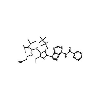 CCC1OC(n2cnc3c(NC(=O)c4ccccc4)ncnc32)C(O[Si](C)(C)C(C)(C)C)C1OP(OCCC#N)N(C(C)C)C(C)C